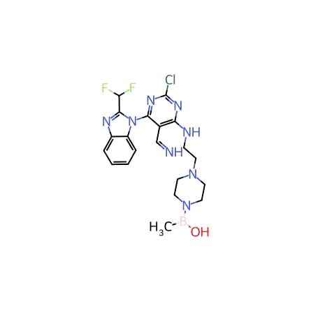 CB(O)N1CCN(CCNc2nc(Cl)nc(-n3c(C(F)F)nc4ccccc43)c2C=N)CC1